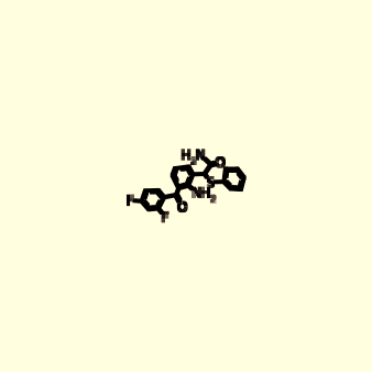 NC(=O)C(Sc1ccccc1)c1cccc(C(=O)c2ccc(F)cc2F)c1N